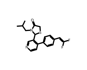 CC(C)CN1C(=O)CSC1c1cnccc1-c1ccc(C=C(F)F)cc1